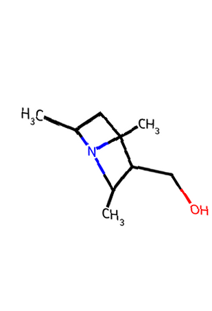 CC1CC2(C)C(CO)C(C)N12